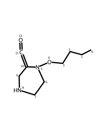 CCCCON1CCNCC1=C=O